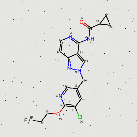 O=C(Nc1nccc2nn(Cc3cnc(OCCC(F)(F)F)c(Cl)c3)cc12)C1CC1